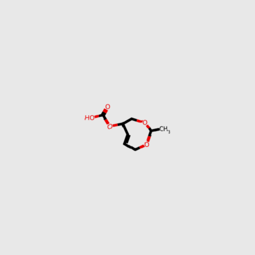 CC1OC/C=C/C(OC(=O)O)CO1